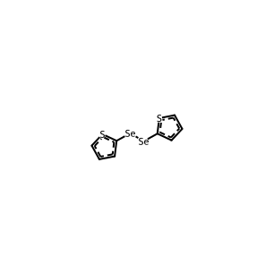 c1csc([Se][Se]c2cccs2)c1